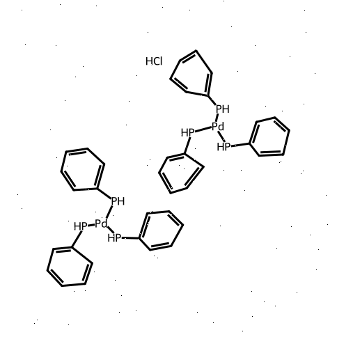 Cl.c1ccc([PH][Pd]([PH]c2ccccc2)[PH]c2ccccc2)cc1.c1ccc([PH][Pd]([PH]c2ccccc2)[PH]c2ccccc2)cc1